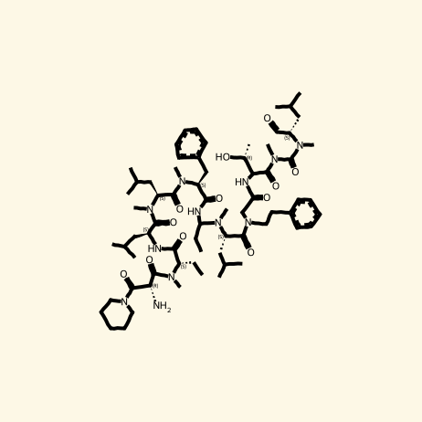 CCC(NC(=O)[C@H](Cc1ccccc1)N(C)C(=O)[C@H](CC(C)C)N(C)C(=O)[C@H](CC(C)C)NC(=O)[C@H](CC)N(C)C(=O)[C@H](N)C(=O)N1CCCCC1)N(C)[C@@H](CC(C)C)C(=O)N(CCc1ccccc1)CC(=O)NC(C(=O)N(C)C(=O)N(C)[C@H](C=O)CC(C)C)[C@@H](C)O